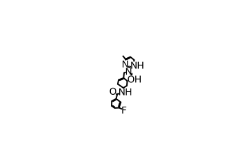 CC1=CCNC(N(CO)CC2=CC[C@@H](NC(=O)c3cccc(F)c3)CC2)=N1